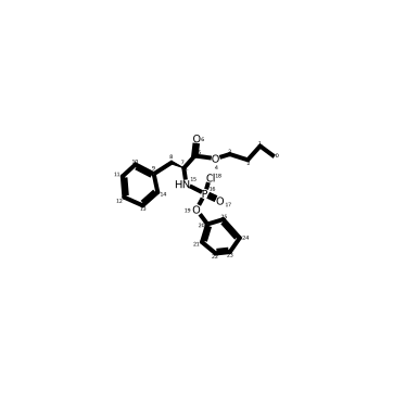 CCCCOC(=O)[C@H](Cc1ccccc1)NP(=O)(Cl)Oc1ccccc1